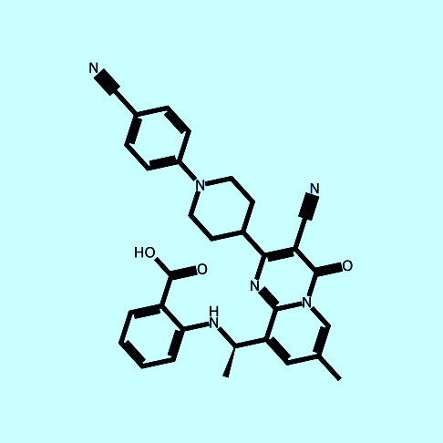 Cc1cc([C@@H](C)Nc2ccccc2C(=O)O)c2nc(C3CCN(c4ccc(C#N)cc4)CC3)c(C#N)c(=O)n2c1